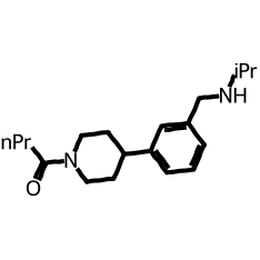 CCCC(=O)N1CCC(c2cccc(CNC(C)C)c2)CC1